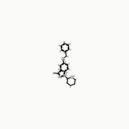 Cc1nn(C2CCCCO2)c2ccc(OCc3ccccc3)cc12